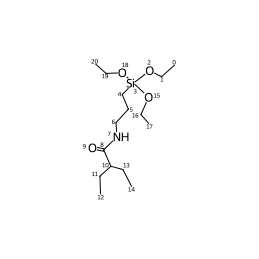 CCO[Si](CCCNC(=O)C(CC)CC)(OCC)OCC